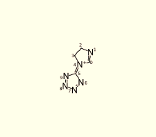 C1=NCC[N+]1=C1N=NN=N1